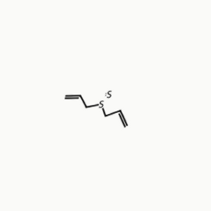 C=CCSCC=C.[S]